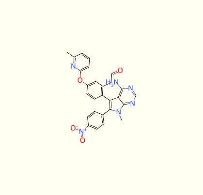 Cc1cccc(Oc2ccc(-c3c(-c4ccc([N+](=O)[O-])cc4)n(C)c4ncnc(N)c34)c(CC=O)c2)n1